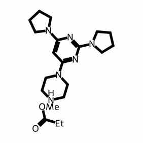 CCC(=O)OC.c1c(N2CCCC2)nc(N2CCCC2)nc1N1CCNCC1